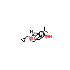 CC(C)C[C@]1(C=O)CCC23CCN(CC4CC4)[C@H](Cc4ccc(O)cc42)[C@]3(O)C1